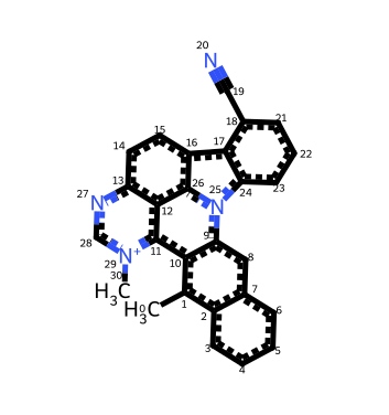 Cc1c2ccccc2cc2c1c1c3c(ccc4c5c(C#N)cccc5n2c43)nc[n+]1C